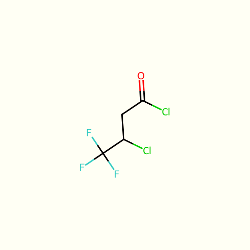 O=C(Cl)CC(Cl)C(F)(F)F